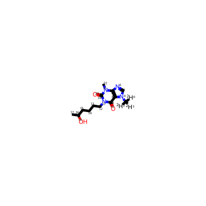 [2H]C([2H])([2H])n1cnc2c1c(=O)n(CCCCC(C)O)c(=O)n2C